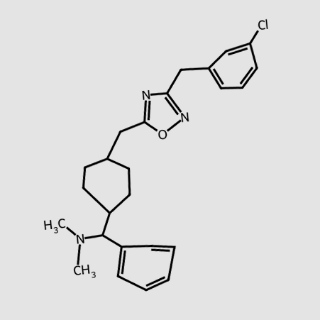 CN(C)C(c1ccccc1)C1CCC(Cc2nc(Cc3cccc(Cl)c3)no2)CC1